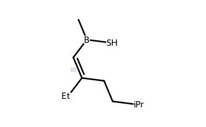 CC/C(=C/B(C)S)CCC(C)C